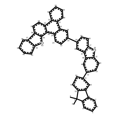 CC1(C)c2ccccc2-c2cc(-c3ccc4oc5ccc(-c6ccc7c(c6)c6ccccc6c6ccc8c9ccccc9oc8c67)cc5c4c3)ccc21